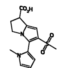 Cn1cccc1-c1c(S(C)(=O)=O)cc2n1CCC2C(=O)O